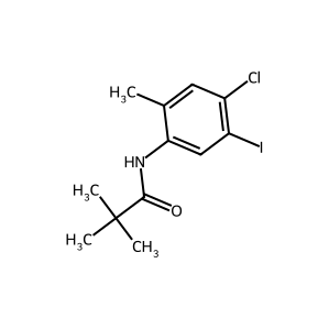 Cc1cc(Cl)c(I)cc1NC(=O)C(C)(C)C